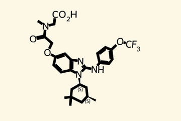 C[C@@H]1C[C@H](n2c(Nc3ccc(OC(F)(F)F)cc3)nc3cc(OCC(=O)N(C)CC(=O)O)ccc32)CC(C)(C)C1